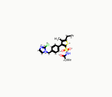 COC(=O)NS(=O)(=O)c1sc(CC(C)C)c(C)c1-c1ccc(Cn2ccnc2Cl)cc1